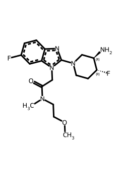 COCCN(C)C(=O)Cn1c(N2CC[C@@H](F)[C@H](N)C2)nc2ccc(F)cc21